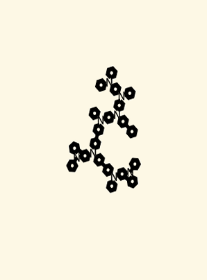 c1ccc(-c2ccc(N(c3ccc(N(c4ccccc4)c4ccc(-c5ccc(N(c6ccc(-c7ccc(N(c8ccccc8)c8ccc9c(c8)c8ccccc8n9-c8ccccc8)cc7)cc6)c6ccc7c(c6)c6ccccc6n7-c6ccccc6)cc5)cc4)cc3)c3ccc(N(c4ccccc4)c4ccc(N(c5ccccc5)c5ccccc5)cc4)cc3)cc2)cc1